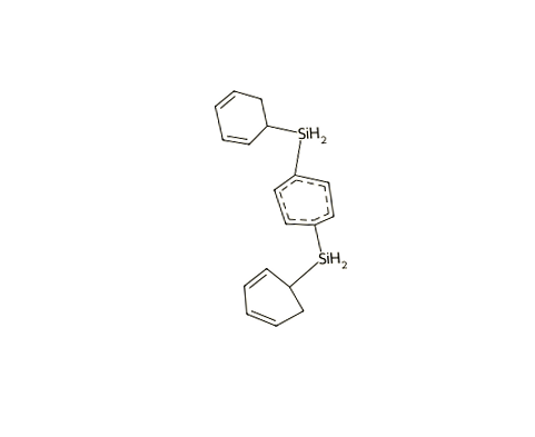 C1=CCC([SiH2]c2ccc([SiH2]C3C=CC=CC3)cc2)C=C1